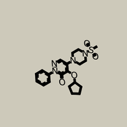 CS(=O)(=O)N1CCN(c2cnn(-c3ccccc3)c(=O)c2OC2CCCC2)CC1